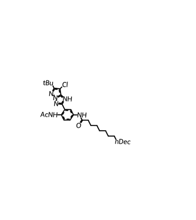 CCCCCCCCCCCCCCCCCC(=O)Nc1ccc(NC(C)=O)c(-c2nn3nc(C(C)(C)C)c(Cl)c3[nH]2)c1